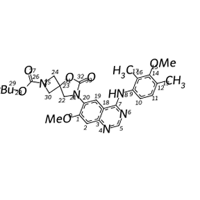 COc1cc2ncnc(Nc3ccc(C)c(OC)c3C)c2cc1N1CC2(CN(C(=O)OC(C)(C)C)C2)OC1=O